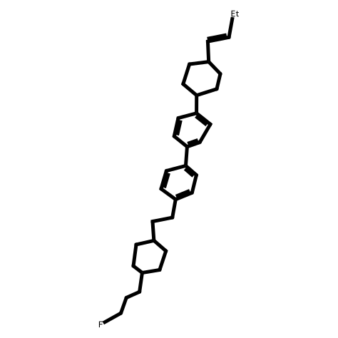 CCC=CC1CCC(c2ccc(-c3ccc(CCC4CCC(CCCF)CC4)cc3)cc2)CC1